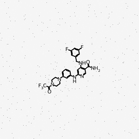 NC(=O)c1cnc(Nc2cccc(N3CCN(C(=O)C(F)(F)F)CC3)c2)cc1NCc1cc(F)cc(F)c1